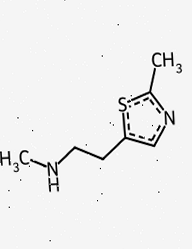 CNCCc1cnc(C)s1